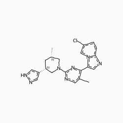 Cc1cnc(N2C[C@@H](C)C[C@@H](c3cn[nH]c3)C2)nc1-c1cnc2ccc(Cl)cn12